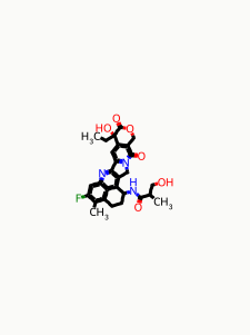 CCC1(O)C(=O)OCc2c1cc1n(c2=O)Cc2c-1nc1cc(F)c(C)c3c1c2C(NC(=O)C(C)CO)CC3